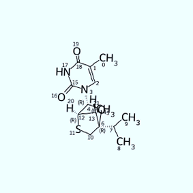 Cc1cn([C@@H]2O[C@@]3(C(C)C)CS[C@@H]2[C@@H]3C)c(=O)[nH]c1=O